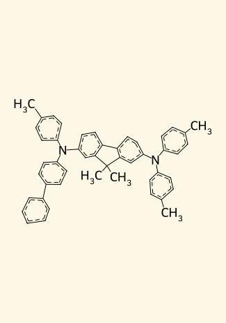 Cc1ccc(N(c2ccc(C)cc2)c2ccc3c(c2)C(C)(C)c2cc(N(c4ccc(C)cc4)c4ccc(-c5ccccc5)cc4)ccc2-3)cc1